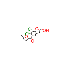 Cc1ccc(C(=O)c2cc3c(c(Cl)c2Cl)OC(CO)C3)o1